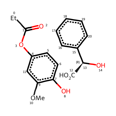 CCC(=O)Oc1ccc(O)c(OC)c1.O=C(O)[C@H](O)c1ccccc1